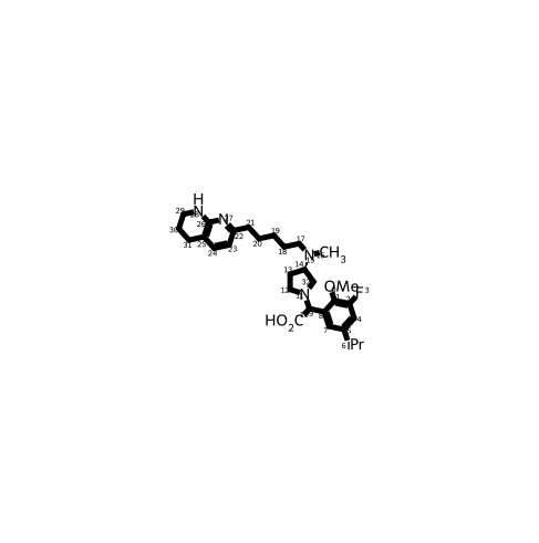 COc1c(F)cc(C(C)C)cc1C(C(=O)O)N1CC[C@H](N(C)CCCCCc2ccc3c(n2)NCCC3)C1